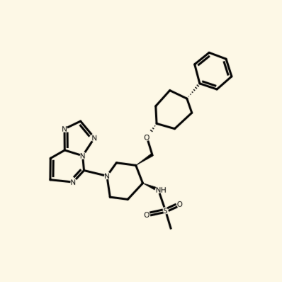 CS(=O)(=O)N[C@H]1CCN(c2nccc3ncnn23)C[C@H]1CO[C@H]1CC[C@@H](c2ccccc2)CC1